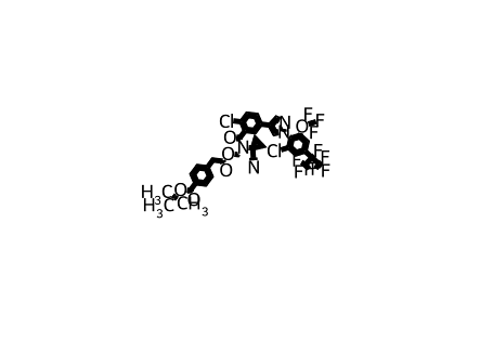 CC(C)(C)OC(=O)c1ccc(CC(=O)OCN(C(=O)c2cc(-c3cnn(-c4c(Cl)cc(C(F)(C(F)(F)F)C(F)(F)F)cc4OC(F)(F)F)c3)ccc2Cl)C2(C#N)CC2)cc1